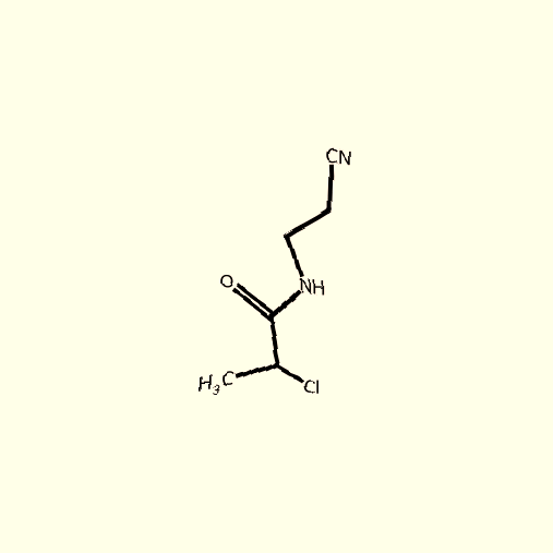 CC(Cl)C(=O)NCCC#N